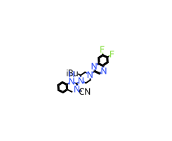 CCC(C)C1CN(c2cnc3cc(F)c(F)cc3n2)CCN1/C(=N\C#N)Nc1ccccc1C